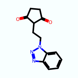 O=C1CCC(=O)C1CCn1nnc2ccccc21